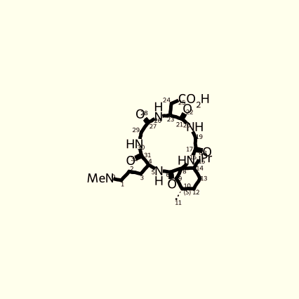 CNCCCC1NC(=O)C2(C[C@@H](C)CCC2C(C)C)NC(=O)CNC(=O)C(CC(=O)O)NC(=O)CNC1=O